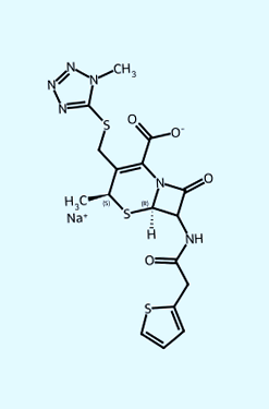 C[C@@H]1S[C@@H]2C(NC(=O)Cc3cccs3)C(=O)N2C(C(=O)[O-])=C1CSc1nnnn1C.[Na+]